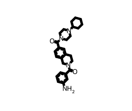 Nc1cccc(C(=O)N2CCc3cc(C(=O)N4CCN(C5CCCCC5)CC4)ccc3C2)c1